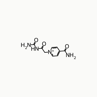 NC(=O)NC(=O)C[n+]1ccc(C(N)=O)cc1